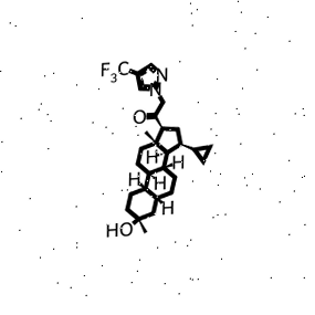 C[C@@]1(O)CC[C@H]2[C@H](CC[C@@H]3[C@@H]2CC[C@@]2(C)[C@H]3[C@H](C3CC3)C[C@@H]2C(=O)Cn2cc(C(F)(F)F)cn2)C1